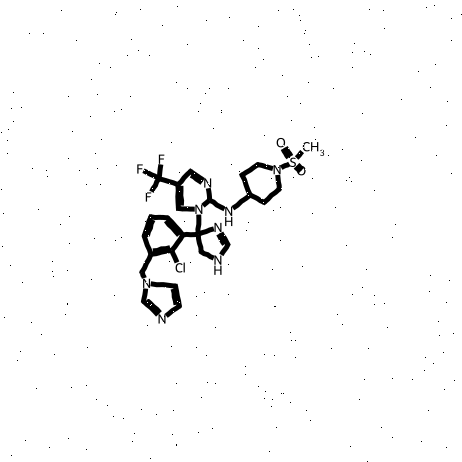 CS(=O)(=O)N1CCC(NC2N=CC(C(F)(F)F)=CN2C2(c3cccc(Cn4ccnc4)c3Cl)CNC=N2)CC1